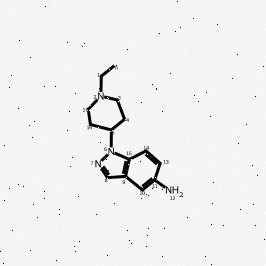 CCN1CCC(n2ncc3cc(N)ccc32)CC1